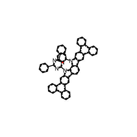 c1ccc(-c2nc(-c3ccccc3)nc(-n3c4cc5c6ccccc6c6ccccc6c5cc4c4ccc5c6cc7c8ccccc8c8ccccc8c7cc6n(-c6ccccc6)c5c43)n2)cc1